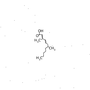 CCCCCC(C)C/C=C/C(C)=C/C(=O)O